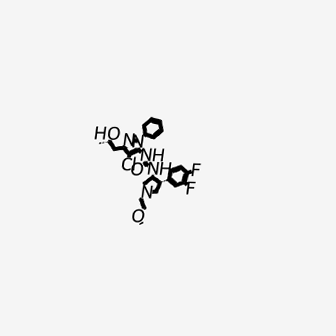 COCCN1C[C@@H](NC(=O)Nc2c(Cl)c(C[C@H](C)O)nn2C2C=CC=CC2)[C@H](c2ccc(F)c(F)c2)C1